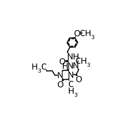 CCCCN1C[C@H]2N(C(=O)CN(C)N2C(=O)NCc2ccc(OC)cc2)[C@@H](C)C1=O